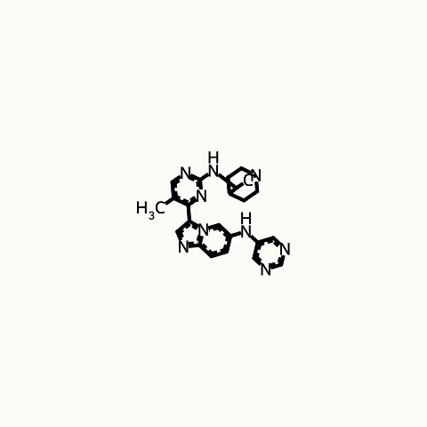 Cc1cnc(NC2CN3CCC2CC3)nc1-c1cnc2ccc(Nc3cncnc3)cn12